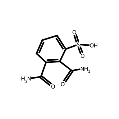 NC(=O)c1cccc(S(=O)(=O)O)c1C(N)=O